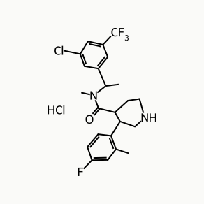 Cc1cc(F)ccc1C1CNCCC1C(=O)N(C)C(C)c1cc(Cl)cc(C(F)(F)F)c1.Cl